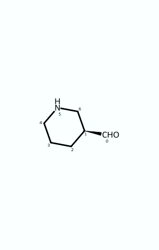 O=C[C@H]1CCCNC1